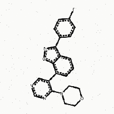 Fc1ccc(-c2noc3c(-c4cncnc4N4CCOCC4)cccc23)cc1